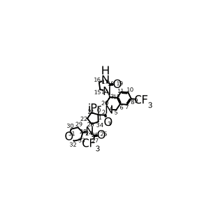 CC(C)[C@]1(C(=O)N2Cc3cc(C(F)(F)F)ccc3[C@H](N3CCNC3=O)C2)CC[C@@H](N(C(=O)C(F)(F)F)C2CCOCC2)C1